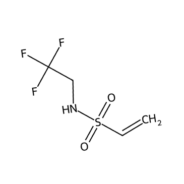 C=CS(=O)(=O)NCC(F)(F)F